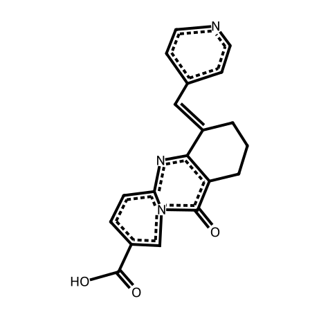 O=C(O)c1ccc2nc3c(c(=O)n2c1)CCCC3=Cc1ccncc1